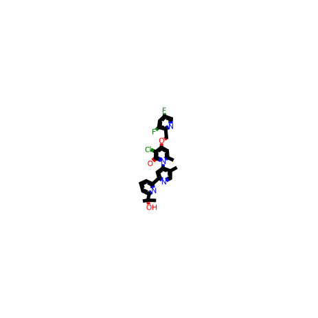 Cc1cnc(-c2cccc(C(C)(C)O)n2)cc1-n1c(C)cc(OCc2ncc(F)cc2F)c(Cl)c1=O